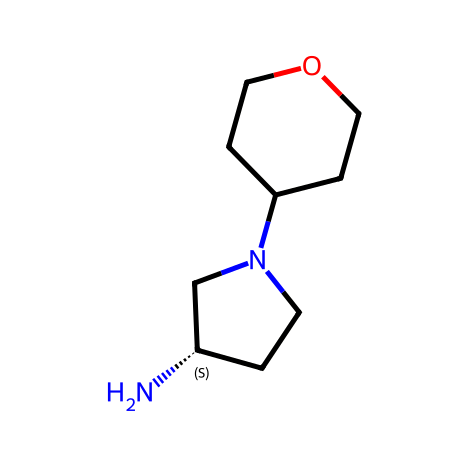 N[C@H]1CCN(C2CCOCC2)C1